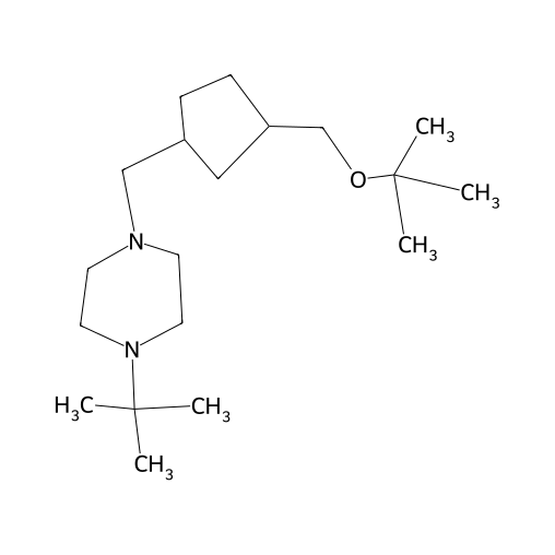 CC(C)(C)OCC1CCC(CN2CCN(C(C)(C)C)CC2)C1